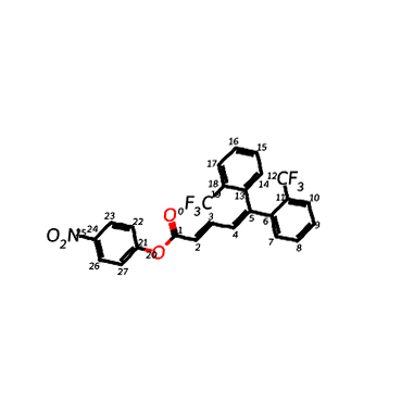 O=C(/C=C/C=C(c1ccccc1C(F)(F)F)c1ccccc1C(F)(F)F)Oc1ccc([N+](=O)[O-])cc1